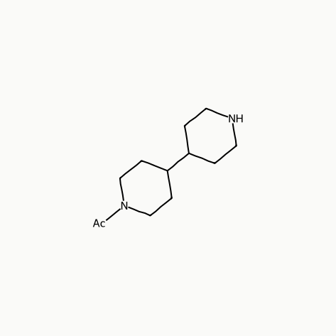 CC(=O)N1CCC(C2CCNCC2)CC1